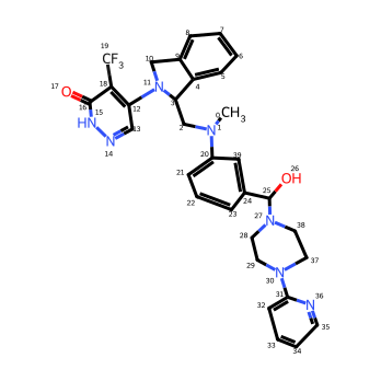 CN(CC1c2ccccc2CN1c1cn[nH]c(=O)c1C(F)(F)F)c1cccc(C(O)N2CCN(c3ccccn3)CC2)c1